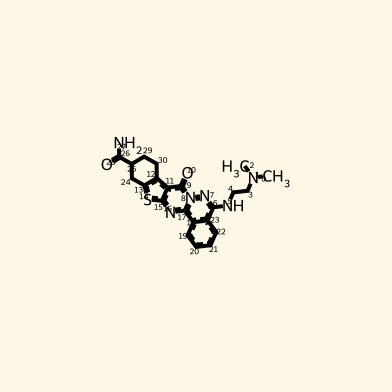 CN(C)CCNc1nn2c(=O)c3c4c(sc3nc2c2ccccc12)CC(C(N)=O)CC4